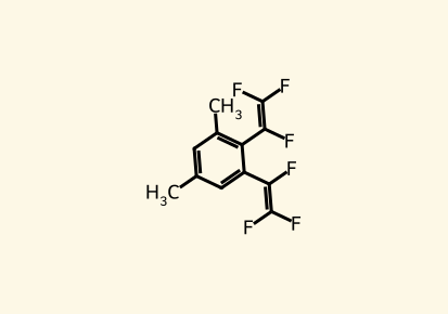 Cc1cc(C)c(C(F)=C(F)F)c(C(F)=C(F)F)c1